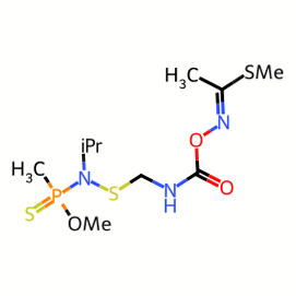 COP(C)(=S)N(SCNC(=O)ON=C(C)SC)C(C)C